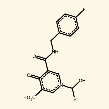 CCC(O)n1cc(C(=O)O)c(=O)c(C(=O)NCc2ccc(F)cc2)c1